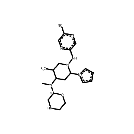 CN(C1CC(n2cccc2)N(Nc2cnc(C#N)cn2)CC1C(F)(F)F)[C@@H]1CNCCO1